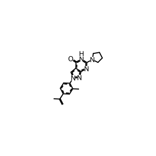 C=C(C)c1ccc(-n2cc3c(=O)[nH]c(N4CCCC4)nc3n2)c(C)c1